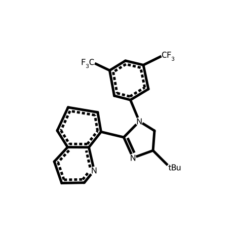 CC(C)(C)C1CN(c2cc(C(F)(F)F)cc(C(F)(F)F)c2)C(c2cccc3cccnc23)=N1